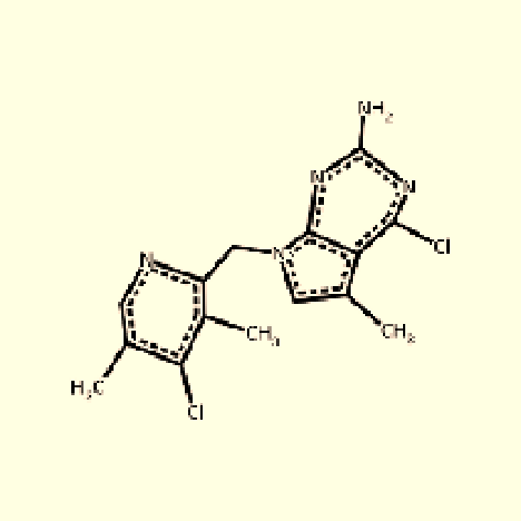 Cc1cnc(Cn2cc(C)c3c(Cl)nc(N)nc32)c(C)c1Cl